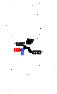 O=C([O-])CCC(NO)C(=O)[O-].[Na+].[Na+]